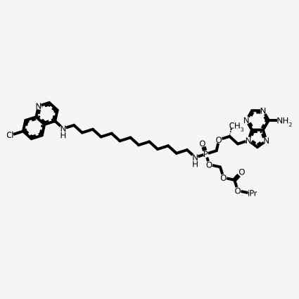 CC(C)OC(=O)OCOP(=O)(CO[C@H](C)Cn1cnc2c(N)ncnc21)NCCCCCCCCCCCCCNc1ccnc2cc(Cl)ccc12